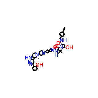 C#Cc1ccc(CNC(=O)[C@@H]2C[C@@H](O)CN2C(=O)[C@@H](NC(=O)N2CC3(CC(N4CCC(N5CCc6[nH]c7nnc(-c8ccccc8O)cc7c6[C@H]5C)CC4)C3)C2)C(C)(C)C)cc1